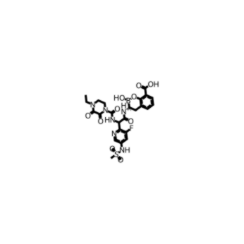 CCN1CCN(C(=O)NC(C(=O)N[C@H]2Cc3cccc(C(=O)O)c3OB2O)c2ncc(NS(C)(=O)=O)cc2F)C(=O)C1=O